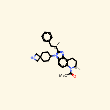 COC(=O)N1c2ccc3c(nc([C@@H](C)Cc4ccccc4)n3C3CCC4(CC3)CNC4)c2CC[C@@H]1C